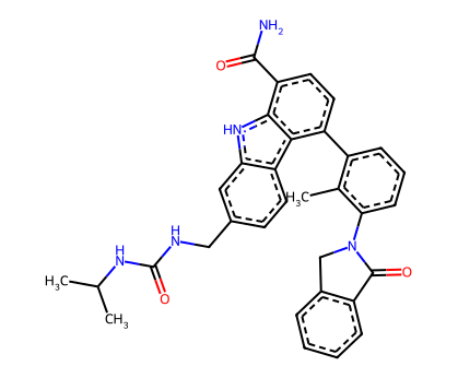 Cc1c(-c2ccc(C(N)=O)c3[nH]c4cc(CNC(=O)NC(C)C)ccc4c23)cccc1N1Cc2ccccc2C1=O